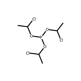 CC(Cl)OP(OC(C)Cl)OC(C)Cl